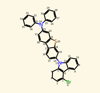 BrC1=CCCc2c1c1ccccc1n2-c1ccc2c(c1)sc1cc(N(c3ccccc3)c3ccccc3)ccc12